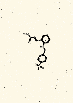 COC(=O)C=Cc1ccccc1NCc1ccc(S(C)(=O)=O)cc1